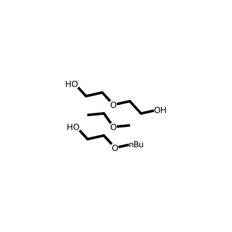 CCCCOCCO.CCOC.OCCOCCO